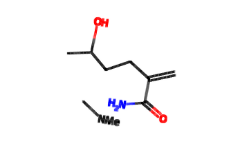 C=C(CCC(C)O)C(N)=O.CNC